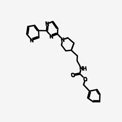 O=C(NCCC1CCN(c2ccnc(-c3cccnc3)n2)CC1)OCc1ccccc1